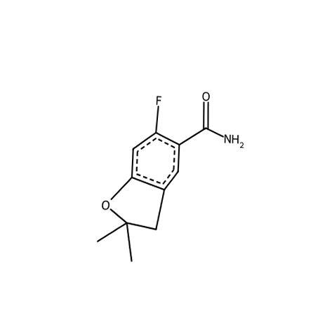 CC1(C)Cc2cc(C(N)=O)c(F)cc2O1